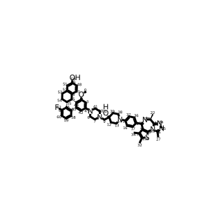 COc1cc(N2CCN(CC3(O)CCN(c4ccc(C5=N[C@@H](C)c6nnc(C)n6-c6sc(C)c(C)c65)cc4)CC3)CC2)ccc1[C@H]1c2ccc(O)cc2CC[C@H]1c1ccccc1F